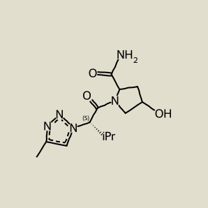 Cc1cn([C@H](C(=O)N2CC(O)CC2C(N)=O)C(C)C)nn1